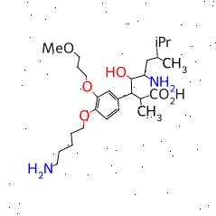 COCCCOc1cc(C(C(C)C(=O)O)C(O)C(N)CC(C)C(C)C)ccc1OCCCCCN